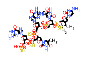 Cc1cn([C@H]2C[C@@H](OP(=O)(S)OCC3O[C@@H](n4cnc5c(=O)[nH]c(N)nc54)C[C@H]3OP(=O)(S)OCC3O[C@@H](n4cc(C)c(=O)[nH]c4=O)C[C@H]3OP(=S)(S)OCC3O[C@@H](n4ccc(N)nc4=O)C[C@H]3C(C)C)C(COP(=O)(S)O[C@@H]3C[C@H](n4cnc5c(=O)[nH]c(N)nc54)OC3COP(=O)(O)S)O2)c(=O)[nH]c1=O